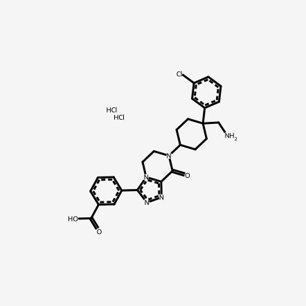 Cl.Cl.NCC1(c2cccc(Cl)c2)CCC(N2CCn3c(nnc3-c3cccc(C(=O)O)c3)C2=O)CC1